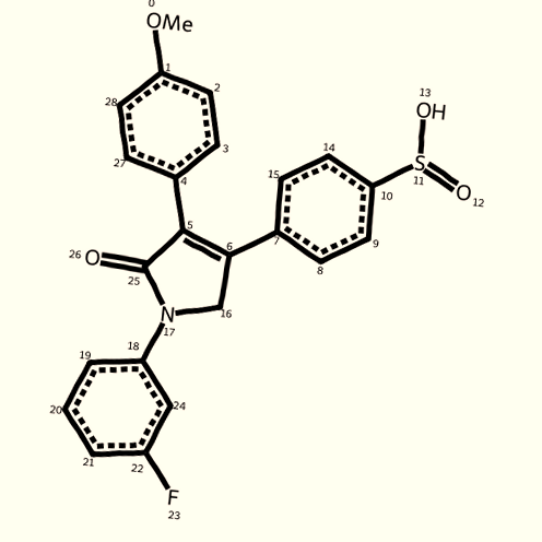 COc1ccc(C2=C(c3ccc(S(=O)O)cc3)CN(c3cccc(F)c3)C2=O)cc1